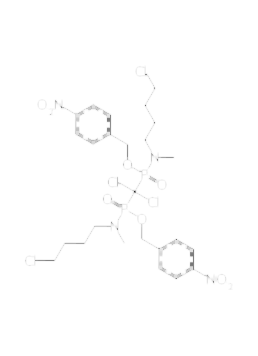 CN(CCCCCl)P(=O)(OCc1ccc([N+](=O)[O-])cc1)C(Cl)(Cl)P(=O)(OCc1ccc([N+](=O)[O-])cc1)N(C)CCCCCl